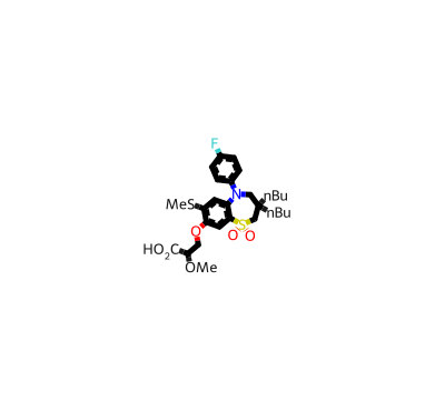 CCCCC1(CCCC)CN(c2ccc(F)cc2)c2cc(SC)c(OCC(OC)C(=O)O)cc2S(=O)(=O)C1